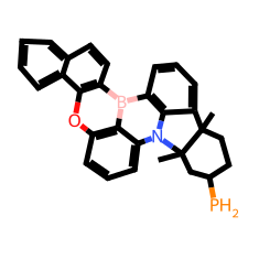 CC12CCC(P)CC1(C)N1c3cccc4c3B(c3cccc2c31)c1ccc2ccccc2c1O4